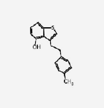 Cc1ccc(CCc2csc3cccc(O)c23)cc1